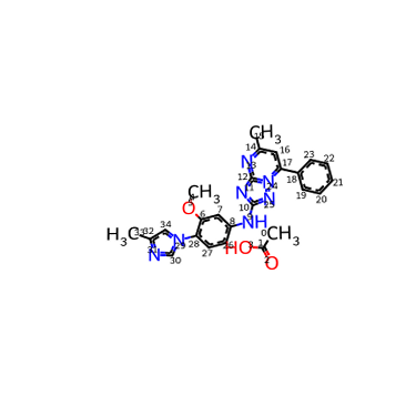 CC(=O)O.COc1cc(Nc2nc3nc(C)cc(-c4ccccc4)n3n2)ccc1-n1cnc(C)c1